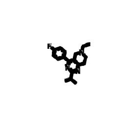 CCN1CCc2nc(C(C)C)nc(-c3ccc(F)cc3)c2C1